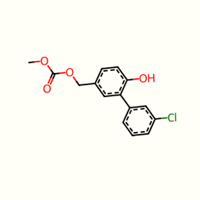 COC(=O)OCc1ccc(O)c(-c2cccc(Cl)c2)c1